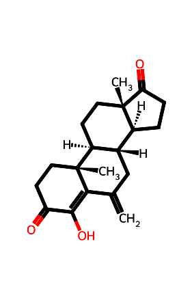 C=C1C[C@@H]2[C@H](CC[C@]3(C)C(=O)CC[C@@H]23)[C@@]2(C)CCC(=O)C(O)=C12